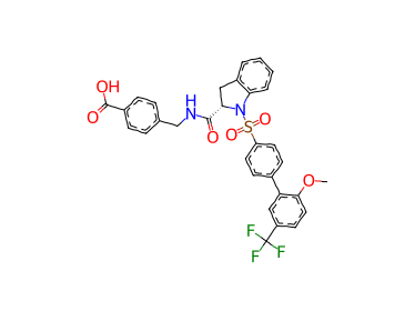 COc1ccc(C(F)(F)F)cc1-c1ccc(S(=O)(=O)N2c3ccccc3C[C@H]2C(=O)NCc2ccc(C(=O)O)cc2)cc1